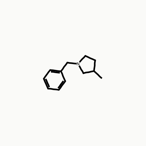 CC1CCN(Cc2ccccc2)C1